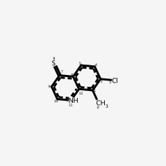 Cc1c(Cl)ccc2c(=S)cc[nH]c12